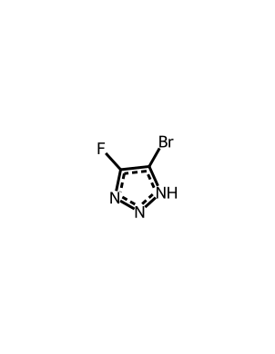 Fc1nn[nH]c1Br